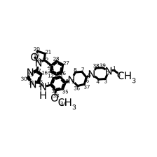 CCN1CCN(C2CCN(c3ccc(Nc4cc(N5OCCC5c5ccccc5)ncn4)c(OC)c3)CC2)CC1